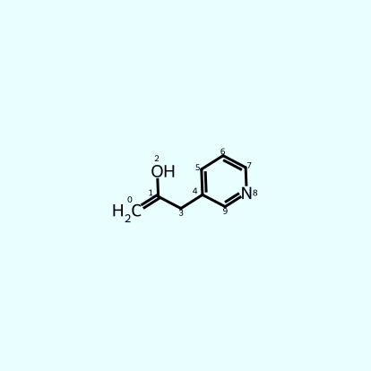 C=C(O)Cc1cccnc1